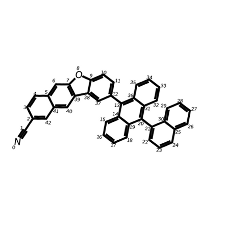 N#Cc1ccc2cc3oc4ccc(-c5c6ccccc6c(-c6cccc7ccccc67)c6ccccc56)cc4c3cc2c1